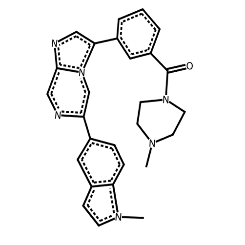 CN1CCN(C(=O)c2cccc(-c3cnc4cnc(-c5ccc6c(ccn6C)c5)cn34)c2)CC1